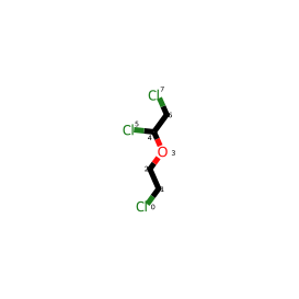 ClCCOC(Cl)CCl